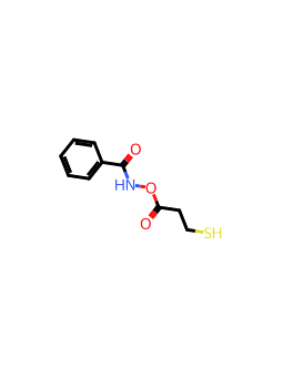 O=C(CCS)ONC(=O)c1ccccc1